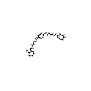 O=C(/C=C\C(=O)OCCCCCCN1CCCCCC1=O)OCCCCCCN1CCCCCC1